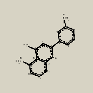 Cc1cccc(-c2cc(F)c3c(C)cccc3n2)c1